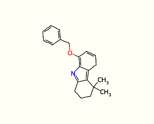 CC1(C)CCCC2=NC3=C(OCc4ccccc4)C=CCC3=C21